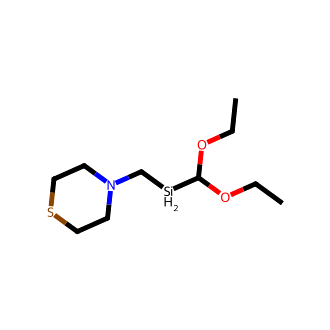 CCOC(OCC)[SiH2]CN1CCSCC1